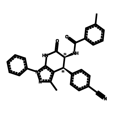 Cc1cccc(C(=O)N[C@@H]2C(=O)Nc3c(c(C)nn3-c3ccccc3)[C@@H]2c2ccc(C#N)cc2)c1